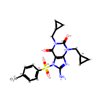 Nc1nc2c(c(=O)n(CC3CC3)c(=O)n2CC2CC2)n1S(=O)(=O)c1ccc([N+](=O)[O-])cc1